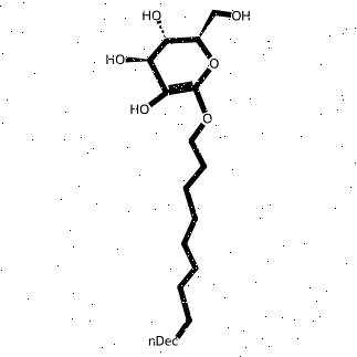 CCCCCCCCCCCCCCCCCCOC1=C(O)[C@@H](O)[C@H](O)[C@@H](CO)O1